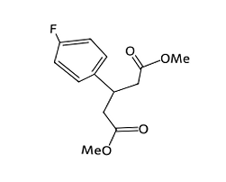 COC(=O)CC(CC(=O)OC)c1ccc(F)cc1